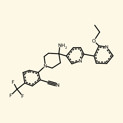 CCOc1ncccc1-c1ccc(C2(N)CCN(c3ccc(C(F)(F)F)cc3C#N)CC2)cn1